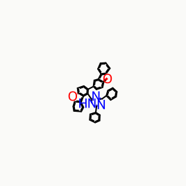 c1ccc(C2=NC(c3c(-c4ccc5oc6ccccc6c5c4)ccc4oc5ccccc5c34)NC(c3ccccc3)=N2)cc1